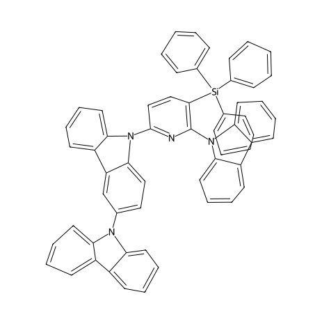 c1ccc([Si](c2ccccc2)(c2ccccc2)c2ccc(-n3c4ccccc4c4cc(-n5c6ccccc6c6ccccc65)ccc43)nc2-n2c3ccccc3c3ccccc32)cc1